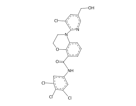 O=C(Nc1cc(Cl)c(Cl)c(Cl)c1)c1cccc2c1OCCN2c1ncc(CO)cc1Cl